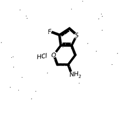 Cl.NC1COc2c(F)csc2C1